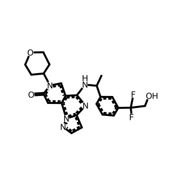 CC(Nc1nc2ccnn2c2cc(=O)n(C3CCOCC3)cc12)c1cccc(C(F)(F)CO)c1